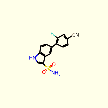 N#Cc1ccc(-c2ccc3[nH]cc(S(N)(=O)=O)c3c2)c(F)c1